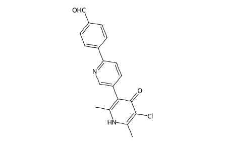 Cc1[nH]c(C)c(-c2ccc(-c3ccc(C=O)cc3)nc2)c(=O)c1Cl